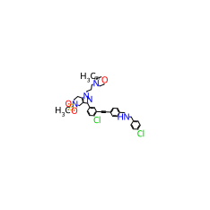 C[C@@H]1COCCN1CCCn1nc(-c2ccc(Cl)c(C#Cc3ccc(CNCc4ccc(Cl)cc4)cc3)c2)c2c1CCN(S(C)(=O)=O)C2